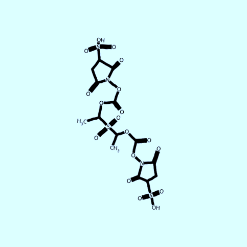 CC(OC(=O)ON1C(=O)CC(S(=O)(=O)O)C1=O)S(=O)(=O)C(C)OC(=O)ON1C(=O)CC(S(=O)(=O)O)C1=O